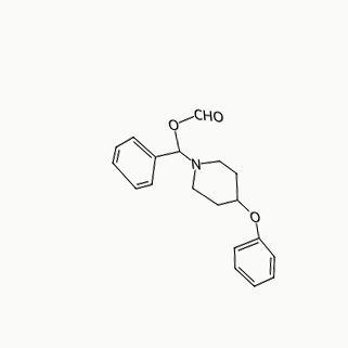 O=COC(c1ccccc1)N1CCC(Oc2ccccc2)CC1